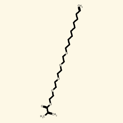 C=CCCCCCCCCCOCCOCCOCCOCCOC(=O)C(=C)C